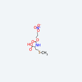 CSCCC(NC(=O)OCCCO[N+](=O)[O-])C(=O)O